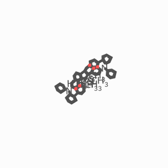 C[Si](C)(C)C1([Si](C)(C)C)c2c(ccc3cc(N(c4ccccc4)c4ccccc4-c4ccccc4)ccc23)-c2ccc3cc(N(c4ccccc4)c4ccccc4-c4ccccc4)ccc3c21